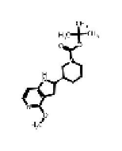 COc1nccc2c1CC([C@@H]1CCCN(C(=O)OC(C)(C)C)C1)N2